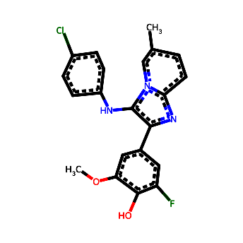 COc1cc(-c2nc3ccc(C)cn3c2Nc2ccc(Cl)cc2)cc(F)c1O